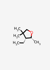 CC[C@H]1[C@@H](C)OCC1(C)C